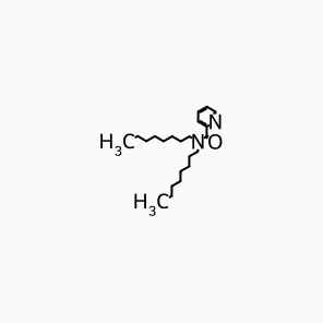 CCCCCCCCN(CCCCCCCC)C(=O)c1ccccn1